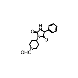 O=CN1CCC(N2C(=O)NC(c3ccccc3)C2=O)CC1